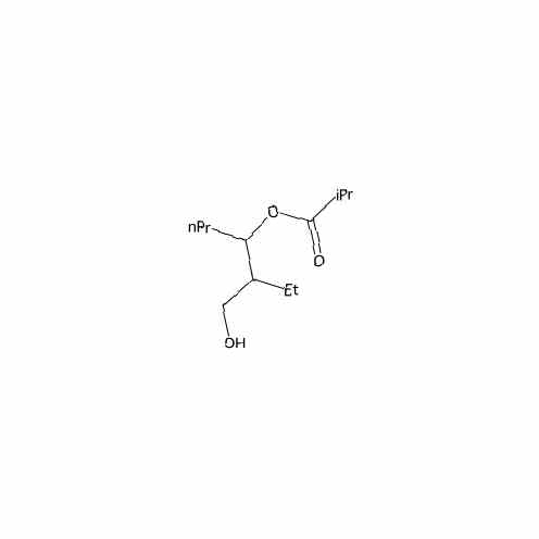 CCCC(OC(=O)C(C)C)C(CC)CO